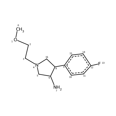 COCCN1CC(N)C(c2ccc(F)cc2)C1